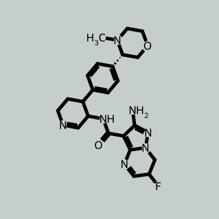 CN1CCOC[C@@H]1c1ccc(C2CCN=CC2NC(=O)c2c(N)nn3c2N=CC(F)C3)cc1